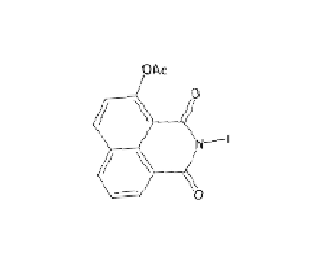 CC(=O)Oc1ccc2cccc3c2c1C(=O)N(I)C3=O